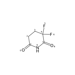 O=C1CCC(F)(F)C(=O)N1